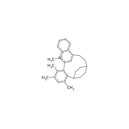 Cc1cc(C)c2c(c1C)-c1cc(c3ccccc3[n+]1C)CCC1CCC2CC1